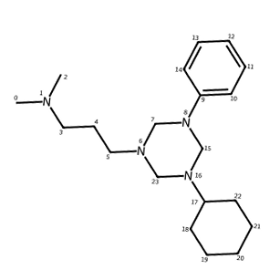 CN(C)CCCN1CN(c2ccccc2)CN(C2CCCCC2)C1